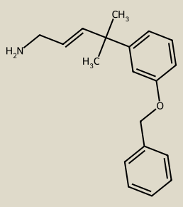 CC(C)(/C=C/CN)c1cccc(OCc2ccccc2)c1